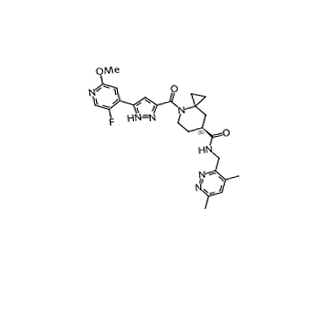 COc1cc(-c2cc(C(=O)N3CC[C@H](C(=O)NCc4nnc(C)cc4C)CC34CC4)n[nH]2)c(F)cn1